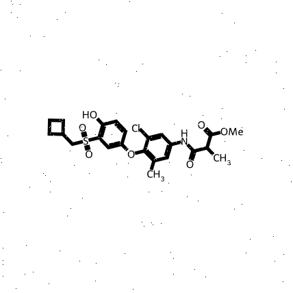 COC(=O)C(C)C(=O)Nc1cc(C)c(Oc2ccc(O)c(S(=O)(=O)CC3CCC3)c2)c(Cl)c1